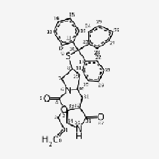 C=CCOC(=O)N1CC(SC(c2ccccc2)(c2ccccc2)c2ccccc2)CC1CC1CCNC1=O